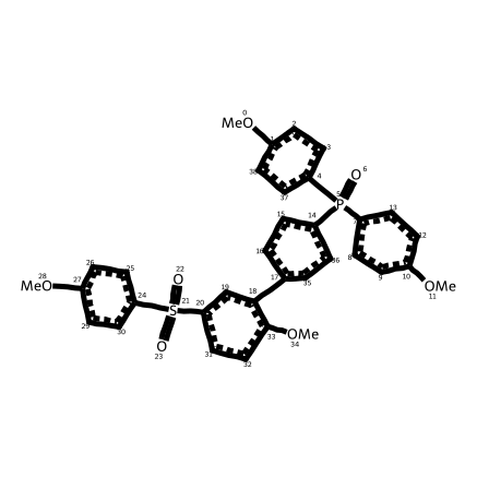 COc1ccc(P(=O)(c2ccc(OC)cc2)c2ccc(-c3cc(S(=O)(=O)c4ccc(OC)cc4)ccc3OC)cc2)cc1